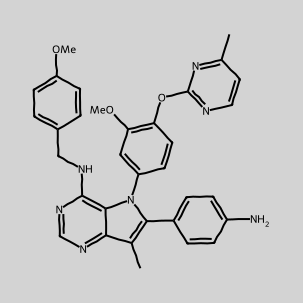 COc1ccc(CNc2ncnc3c(C)c(-c4ccc(N)cc4)n(-c4ccc(Oc5nccc(C)n5)c(OC)c4)c23)cc1